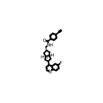 C#Cc1ccc(C(=O)NC[C@H]2C[C@H]3CC(c4ccnc5ccc(F)cc45)C[C@H]3C2)cc1